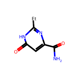 CCc1nc(C(N)=O)cc(=O)[nH]1